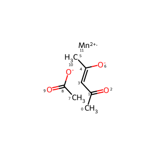 CC(=O)/C=C(/C)[O-].CC(=O)[O-].[Mn+2]